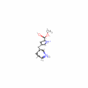 COC(=O)c1cc(Cc2cccnc2)c[nH]1